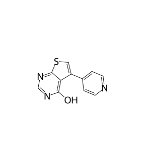 Oc1ncnc2scc(-c3ccncc3)c12